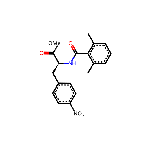 COC(=O)[C@H](Cc1ccc([N+](=O)[O-])cc1)NC(=O)c1c(C)cccc1C